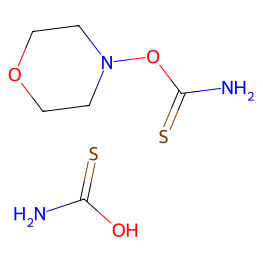 NC(=S)ON1CCOCC1.NC(O)=S